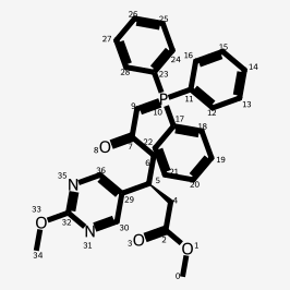 COC(=O)C[C@H](CC(=O)C=P(c1ccccc1)(c1ccccc1)c1ccccc1)c1cnc(OC)nc1